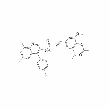 COc1cc(/C=C/C(=O)Nc2cnc3c(C)cc(C)cc3c2-c2ccc(F)cc2)cc(OC)c1OC(C)=O